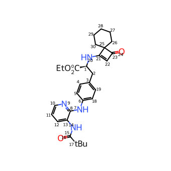 CCOC(=O)[C@H](Cc1ccc(Nc2ncccc2NC(=O)C(C)(C)C)cc1)NC1=CC(=O)C12CCCCC2